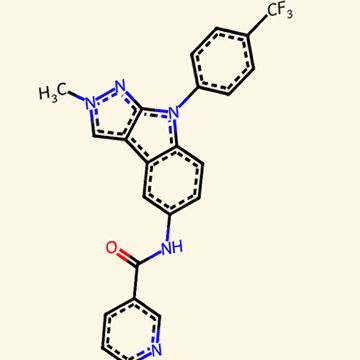 Cn1cc2c3cc(NC(=O)c4cccnc4)ccc3n(-c3ccc(C(F)(F)F)cc3)c2n1